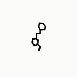 C=Cc1cccc(CCC2CCCCC2)c1